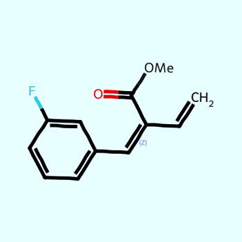 C=C/C(=C/c1cccc(F)c1)C(=O)OC